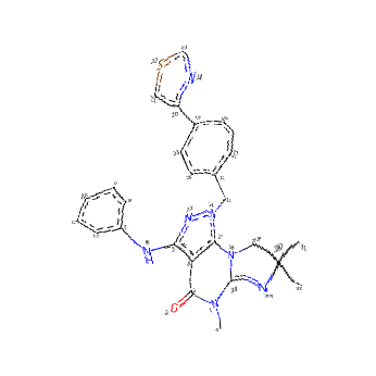 CN1C(=O)c2c(Nc3ccccc3)nn(Cc3ccc(-c4cscn4)cc3)c2N2CC(C)(C)N=C12